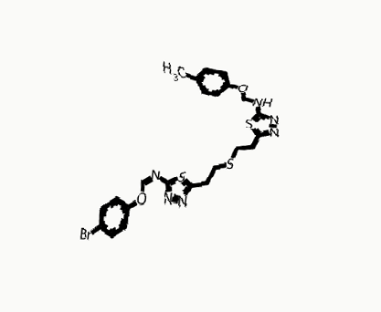 Cc1ccc(OCNc2nnc(CCSCCc3nnc(/N=C\Oc4ccc(Br)cc4)s3)s2)cc1